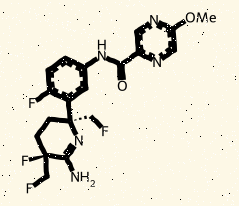 COc1cnc(C(=O)Nc2ccc(F)c([C@]3(CF)CC[C@@](F)(CF)C(N)=N3)c2)cn1